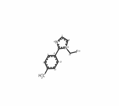 Cc1ccc(-c2nccn2CF)cc1